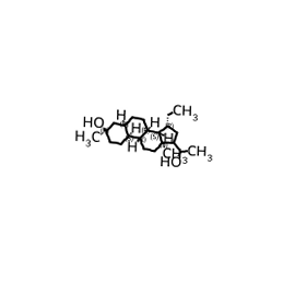 CC[C@@H]1CC(C(C)O)[C@@]2(C)CC[C@H]3[C@@H](CC[C@@H]4C[C@](C)(O)CC[C@@H]43)[C@H]12